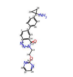 NC1(c2ccc(-c3ccc4nnn(CCOc5ncccn5)c(=O)c4c3)cc2)CC1